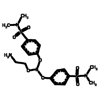 CN(C)S(=O)(=O)c1ccc(OB(OCCN)Oc2ccc(S(=O)(=O)N(C)C)cc2)cc1